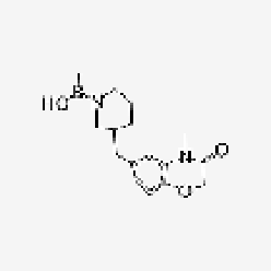 CB(O)N1CCCC(Cc2ccc3c(c2)N(C)C(=O)CO3)C1